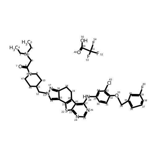 CCN(CC)CC(=O)N1CCC(Cn2cc3c(n2)CCc2c-3sc3ncnc(Nc4ccc(OCc5cccc(F)c5)c(Cl)c4)c23)CC1.O=C(O)C(F)(F)F